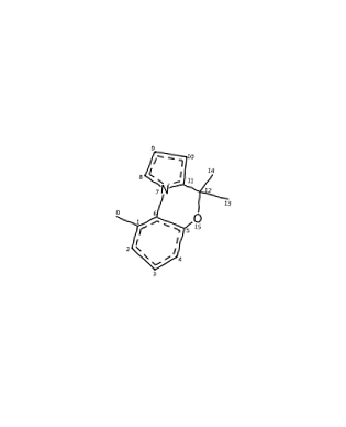 Cc1cccc2c1-n1cccc1C(C)(C)O2